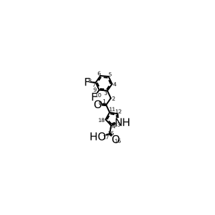 O=C(Cc1cccc(F)c1F)c1c[nH]c(C(=O)O)c1